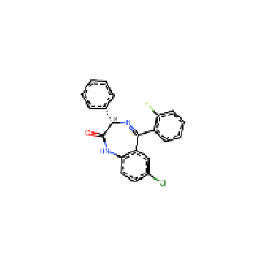 O=C1Nc2ccc(Cl)cc2C(c2ccccc2F)=N[C@H]1c1ccccc1